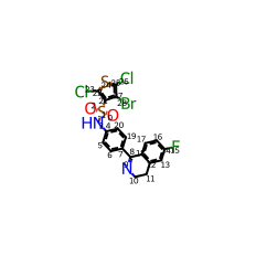 O=S(=O)(Nc1ccc(C2=NCCc3cc(F)ccc32)cc1)c1c(Cl)sc(Cl)c1Br